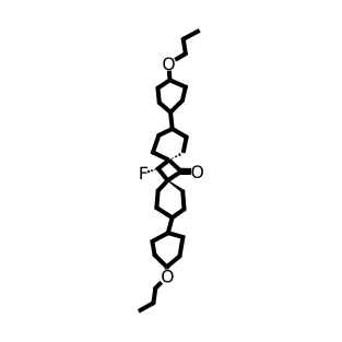 CCCOC1CCC(C2CC[C@]3(CC2)C(=O)[C@@]2(CCC(C4CCC(OCCC)CC4)CC2)[C@H]3F)CC1